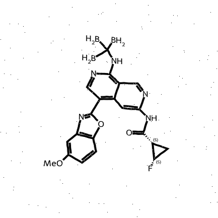 BC(B)(B)Nc1ncc(-c2nc3cc(OC)ccc3o2)c2cc(NC(=O)[C@@H]3C[C@@H]3F)ncc12